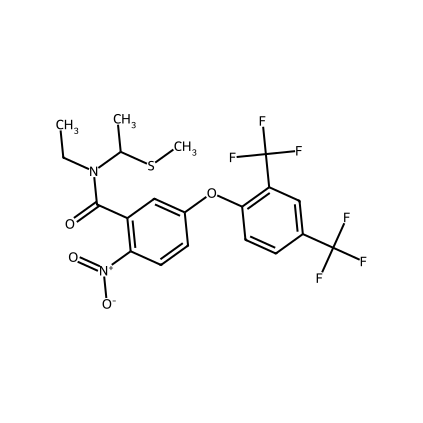 CCN(C(=O)c1cc(Oc2ccc(C(F)(F)F)cc2C(F)(F)F)ccc1[N+](=O)[O-])C(C)SC